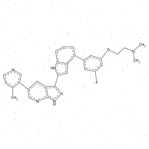 Cc1ccncc1-c1cnc2[nH]nc(-c3cc4c(-c5cc(F)cc(OCCN(C)C)c5)cccc4[nH]3)c2c1